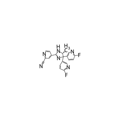 C[C@@H]1NC(c2ccnc(C#N)c2)=NC1(c1ccc(F)nc1)c1ccc(F)nc1